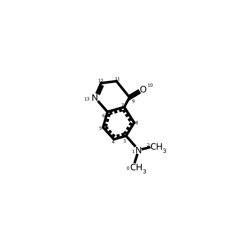 CN(C)c1ccc2c(c1)C(=O)CC=N2